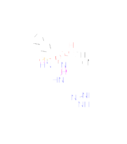 CC(C)C[C@H](NC(=O)[C@H](CC(=O)NC[C@@H]1CCCN(C(=N)N)C1)NS(=O)(=O)c1ccc2ccccc2c1)C(=O)O